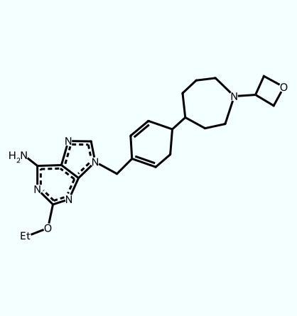 CCOc1nc(N)c2ncn(CC3=CCC(C4CCCN(C5COC5)CC4)C=C3)c2n1